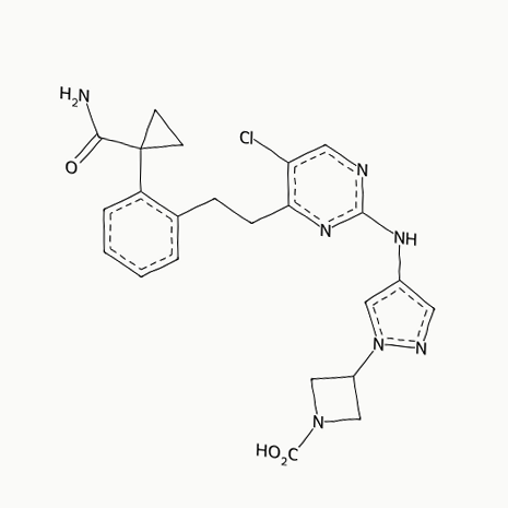 NC(=O)C1(c2ccccc2CCc2nc(Nc3cnn(C4CN(C(=O)O)C4)c3)ncc2Cl)CC1